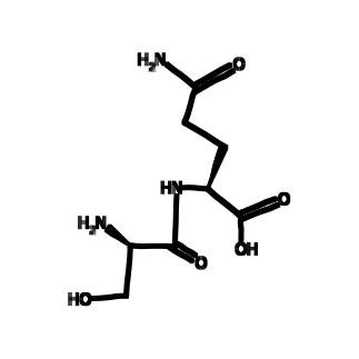 NC(=O)CC[C@H](NC(=O)[C@H](N)CO)C(=O)O